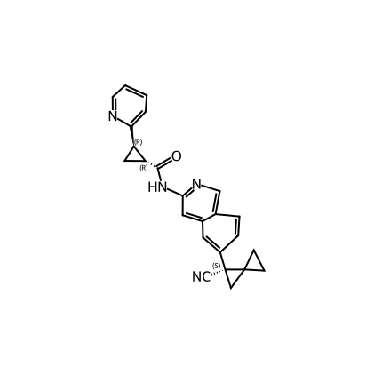 N#C[C@@]1(c2ccc3cnc(NC(=O)[C@@H]4C[C@H]4c4ccccn4)cc3c2)CC12CC2